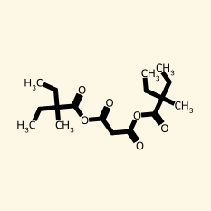 CCC(C)(CC)C(=O)OC(=O)CC(=O)OC(=O)C(C)(CC)CC